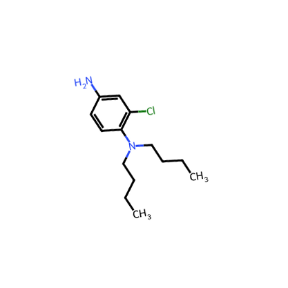 CCCCN(CCCC)c1ccc(N)cc1Cl